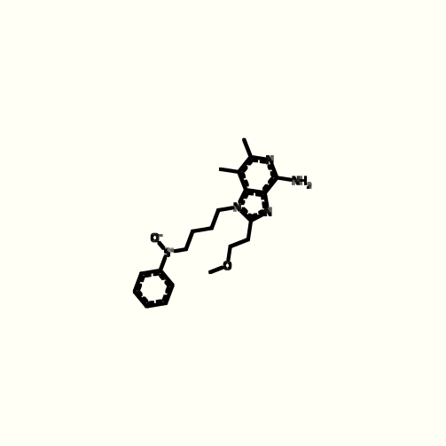 COCCc1nc2c(N)nc(C)c(C)c2n1CCCC[S+]([O-])c1ccccc1